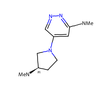 CNc1cc(N2CC[C@@H](NC)C2)cnn1